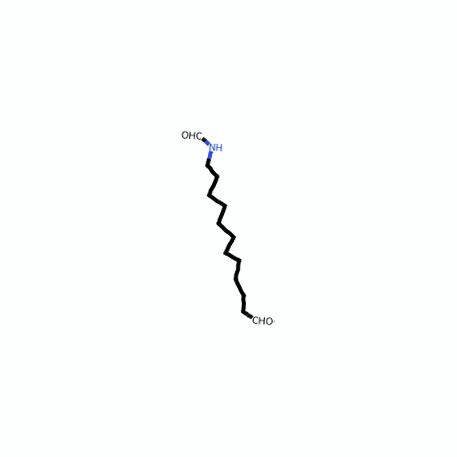 O=[C]CCCCCCCCCCCNC=O